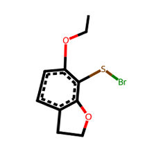 CCOc1ccc2c(c1SBr)OCC2